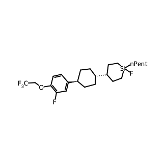 CCCCC[Si]1(F)CCC([C@H]2CC[C@H](c3ccc(OCC(F)(F)F)c(F)c3)CC2)CC1